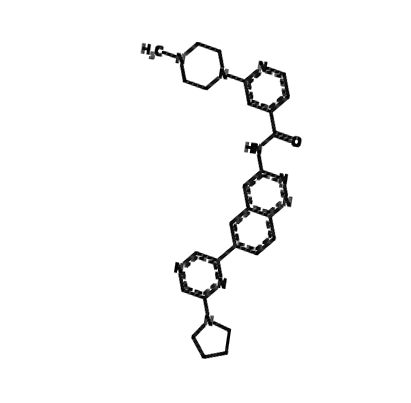 CN1CCN(c2cc(C(=O)Nc3cc4cc(-c5cncc(N6CCCC6)n5)ccc4nn3)ccn2)CC1